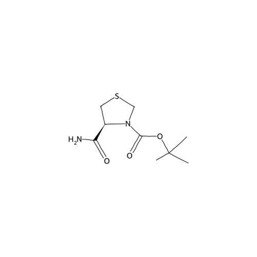 CC(C)(C)OC(=O)N1CSC[C@@H]1C(N)=O